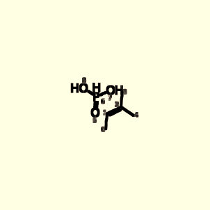 CC=C(C)C.O=[PH](O)O